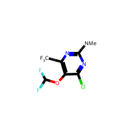 CNc1nc(Cl)c(OC(F)F)c(C(F)(F)F)n1